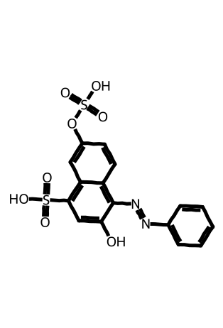 O=S(=O)(O)Oc1ccc2c(N=Nc3ccccc3)c(O)cc(S(=O)(=O)O)c2c1